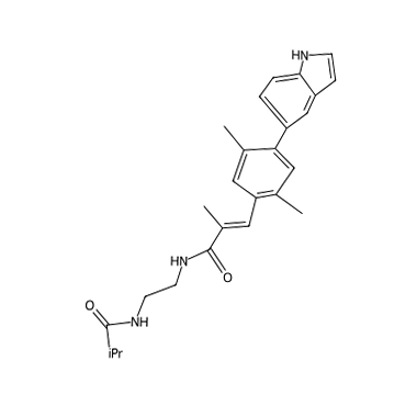 C/C(=C\c1cc(C)c(-c2ccc3[nH]ccc3c2)cc1C)C(=O)NCCNC(=O)C(C)C